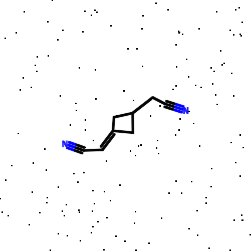 N#CC=C1CC(CC#N)C1